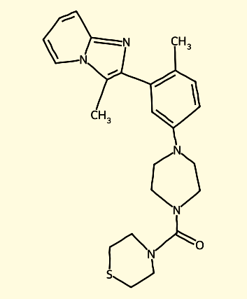 Cc1ccc(N2CCN(C(=O)N3CCSCC3)CC2)cc1-c1nc2ccccn2c1C